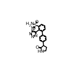 NS(=O)(=O)c1cccc(-c2ccc(C3CCNC3=O)cc2)c1-c1nnn[nH]1